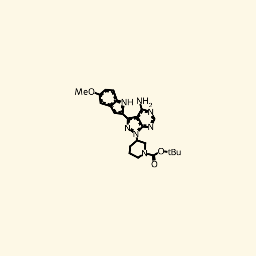 COc1ccc2[nH]c(-c3nn(C4CCCN(C(=O)OC(C)(C)C)C4)c4ncnc(N)c34)cc2c1